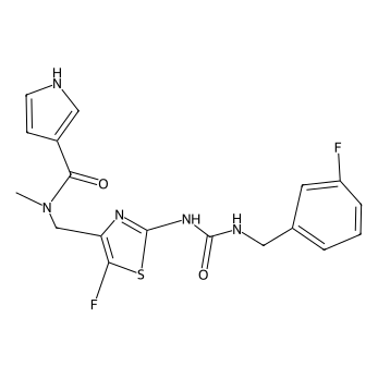 CN(Cc1nc(NC(=O)NCc2cccc(F)c2)sc1F)C(=O)c1cc[nH]c1